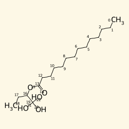 CCCCCCCCCCCCCC(=O)OC(CC)C(O)(O)O